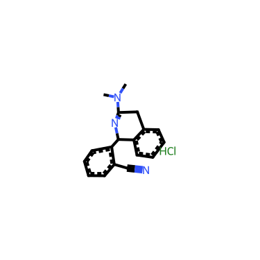 CN(C)C1=NC(c2ccccc2C#N)c2ccccc2C1.Cl